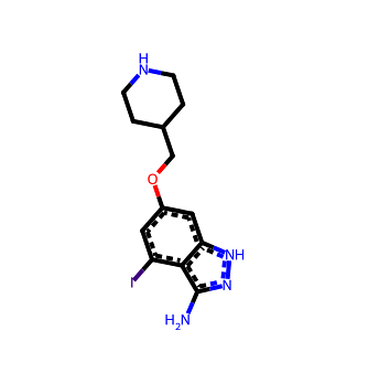 Nc1n[nH]c2cc(OCC3CCNCC3)cc(I)c12